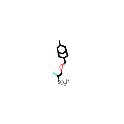 CC1CC2CC(COCC(F)S(=O)(=O)O)CC(C1)C2